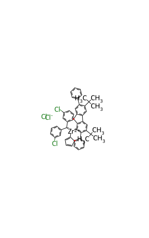 CC(C)(C)c1cc2c(cc1-c1ccccc1)Cc1c-2cc(C(C)(C)C)c(-c2ccccc2)[c]1[Zr+2]([C]1=CC=CC1)=[C](c1cccc(Cl)c1)c1cccc(Cl)c1.[Cl-].[Cl-]